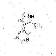 Cc1[nH]nnc1-c1cncnc1